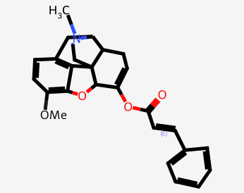 COc1ccc2c3c1OC1C(OC(=O)/C=C/c4ccccc4)=CCC4C(C2)N(C)CCC314